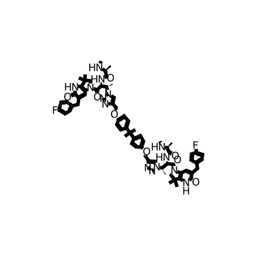 CN[C@@H](C)C(=O)N[C@H](C(=O)N1CC(C)(C)c2[nH]c(=O)c(Cc3ccc(F)cc3)cc21)[C@H](C)n1cc(COc2ccc(C(C)(C)c3ccc(OCc4cn([C@@H](C)[C@H](NC(=O)[C@H](C)NC)C(=O)N5CC(C)(C)c6[nH]c(=O)c(Cc7ccc(F)cc7)cc65)nn4)cc3)cc2)nn1